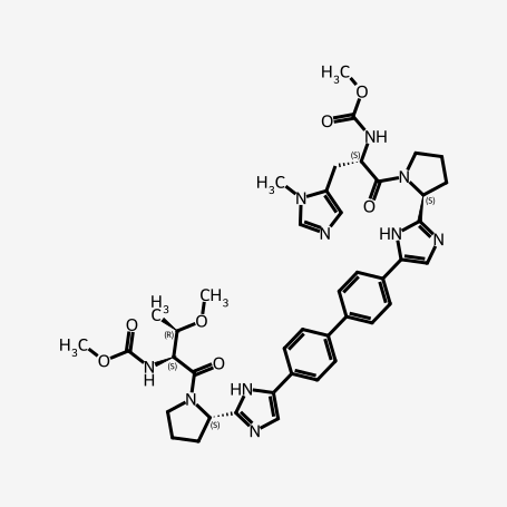 COC(=O)N[C@@H](Cc1cncn1C)C(=O)N1CCC[C@H]1c1ncc(-c2ccc(-c3ccc(-c4cnc([C@@H]5CCCN5C(=O)[C@@H](NC(=O)OC)[C@@H](C)OC)[nH]4)cc3)cc2)[nH]1